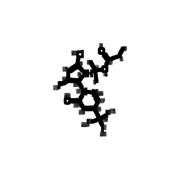 CCC(=O)OC(C)(C)[SH]1C(Cl)=CC(F)=C1n1ncc(C(F)(F)F)cc1=O